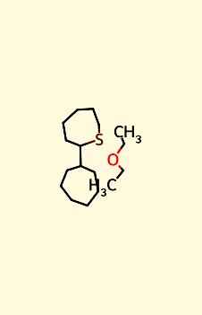 C1CCCC(C2CCCCCS2)CC1.CCOCC